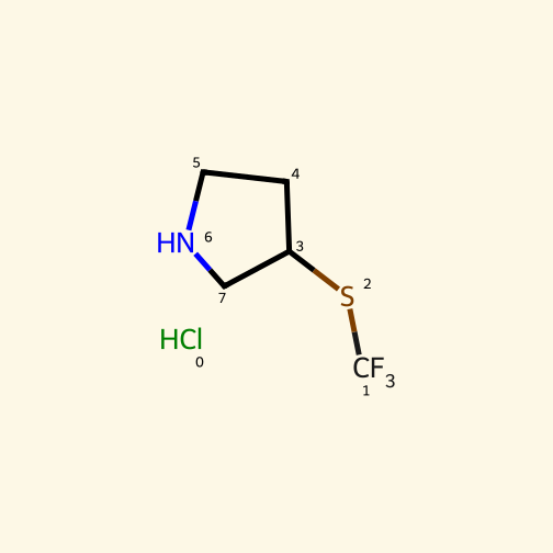 Cl.FC(F)(F)SC1CCNC1